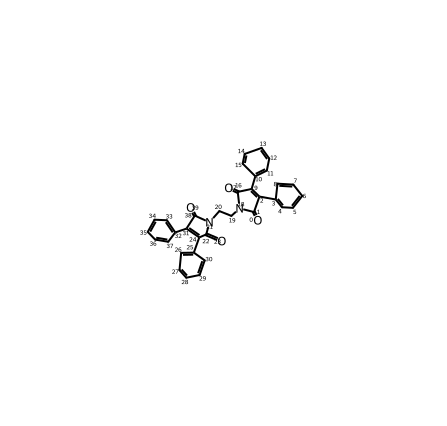 O=C1C(c2ccccc2)=C(c2ccccc2)C(=O)N1CCN1C(=O)C(c2ccccc2)=C(c2ccccc2)C1=O